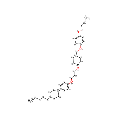 [CH2+][CH-]CCOc1ccc(OCC2CCC(OCCCOc3ccc(C4CCC(CCCCC)CC4)cc3)CC2)cc1